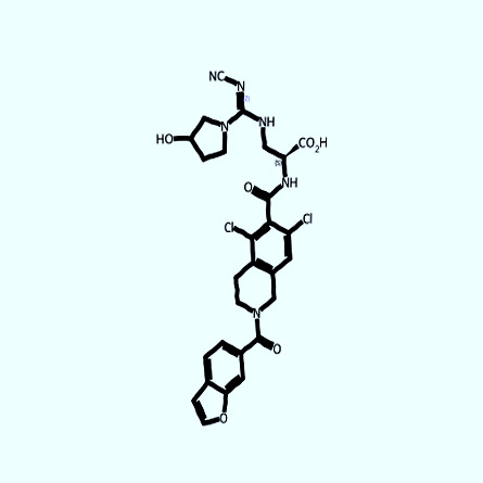 N#C/N=C(/NC[C@H](NC(=O)c1c(Cl)cc2c(c1Cl)CCN(C(=O)c1ccc3ccoc3c1)C2)C(=O)O)N1CCC(O)C1